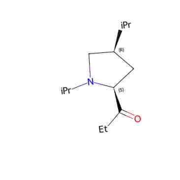 CCC(=O)[C@@H]1C[C@H](C(C)C)CN1C(C)C